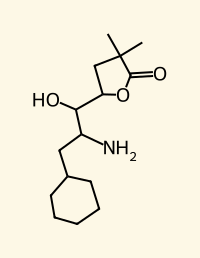 CC1(C)CC(C(O)C(N)CC2CCCCC2)OC1=O